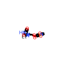 CCc1nn(CCCCOC(=O)c2ccc(S(=O)(=O)N3CCCC3)cc2)c2c1C(=O)NCC1(CCOCC1)C2